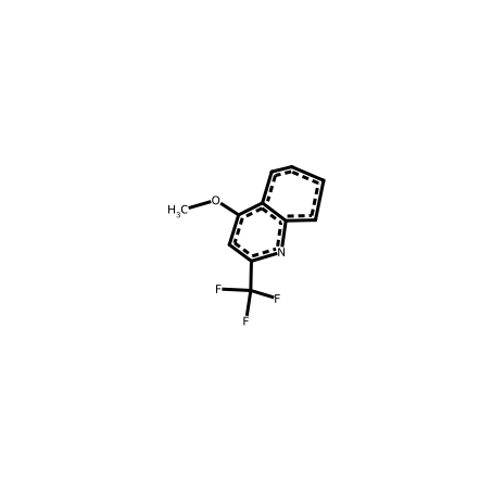 COc1cc(C(F)(F)F)nc2ccccc12